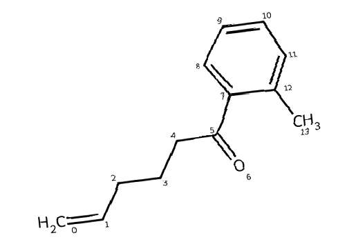 C=CCCCC(=O)c1ccccc1C